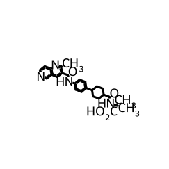 Cc1nc2ccncc2cc1C(=O)Nc1ccc(C2CCC(C(=O)NC(C)(C)C(=O)O)CC2)cc1